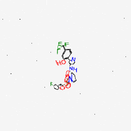 O=C(NCc1ccnc(-c2ccc(C(F)(F)F)cc2O)c1)[C@@H]1CCCN1S(=O)(=O)c1cc2cc(F)ccc2o1